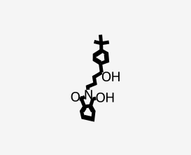 CC(C)(C)c1ccc(C(O)CCCN2C(=O)c3ccccc3C2O)cc1